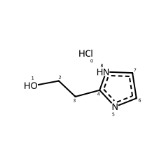 Cl.OCCc1ncc[nH]1